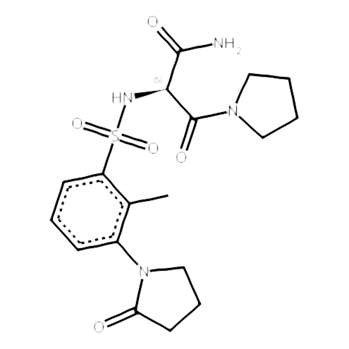 Cc1c(N2CCCC2=O)cccc1S(=O)(=O)N[C@@H](C(N)=O)C(=O)N1CCCC1